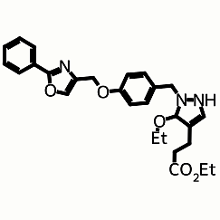 CCOC(=O)CCC1=CNN(Cc2ccc(OCc3coc(-c4ccccc4)n3)cc2)C1OCC